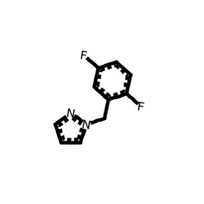 Fc1ccc(F)c(Cn2cccn2)c1